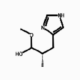 COC(O)[C@@H](C)Cc1c[nH]cn1